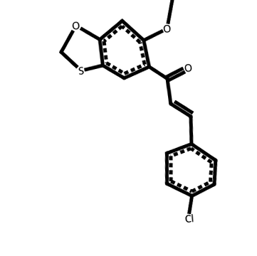 COc1cc2c(cc1C(=O)/C=C/c1ccc(Cl)cc1)SCO2